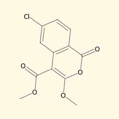 COC(=O)c1c(OC)oc(=O)c2ccc(Cl)cc12